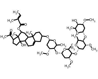 C/C=C(\C)C(=O)OC1CC2C(CC=C3CC(O[C@H]4C[C@@H](OC)[C@H](O[C@H]5C[C@@H](OC)[C@H](O[C@H]6C[C@@H](OC)[C@H](O[C@H]7C[C@@H](OC)[C@H](O)C(C)O7)C(C)O6)C(C)O5)C(C)O4)CCC32C)C2(O)CCC(C(C)=O)C12C